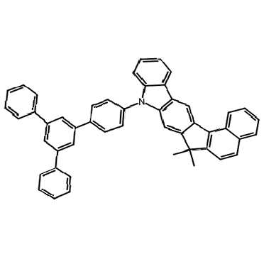 CC1(C)c2cc3c(cc2-c2c1ccc1ccccc21)c1ccccc1n3-c1ccc(-c2cc(-c3ccccc3)cc(-c3ccccc3)c2)cc1